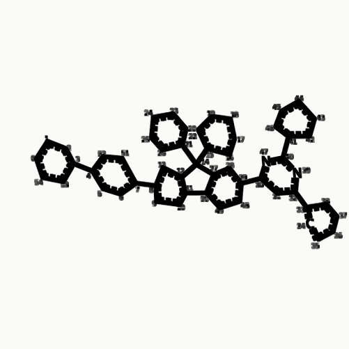 c1ccc(-c2ccc(-c3ccc4c(c3)C(c3ccccc3)(c3ccccc3)c3cc(-c5cc(-c6ccccc6)nc(-c6ccccc6)n5)ccc3-4)cc2)cc1